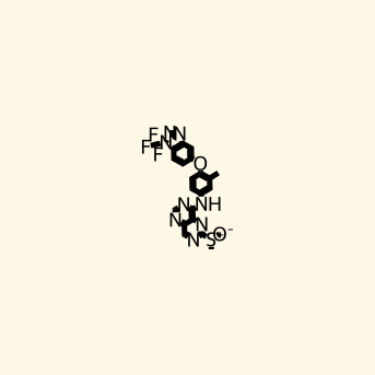 Cc1cc(Nc2ncnc3cnc([S+](C)[O-])nc23)ccc1Oc1ccc2c(c1)nnn2C(F)(F)F